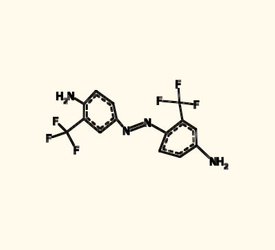 Nc1ccc(N=Nc2ccc(N)c(C(F)(F)F)c2)c(C(F)(F)F)c1